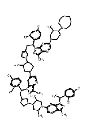 Cc1nn(C(C)c2ccc(Cl)cc2Cl)c2nc(N3CC(C)C(N4CCC(CC(c5ccc(Cl)cc5Cl)n5nc(C)c6ncc(N7CCC(N8CC=C(CC(c9ccc(Cl)cc9Cl)n9nc(C)c%10ncc(N%11CCC(N%12CCCCCCC%12)C(C)C%11)nc%109)C8)C(C)C7)nc65)C4)CC3C)cnc12